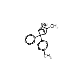 Cc1ccc(C2(c3ccccc3)C3=[C]C(C)C2=C3C(C)(C)C)cc1